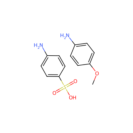 COc1ccc(N)cc1.Nc1ccc(S(=O)(=O)O)cc1